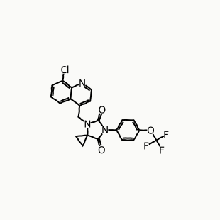 O=C1N(c2ccc(OC(F)(F)F)cc2)C(=O)C2(CC2)N1Cc1ccnc2c(Cl)cccc12